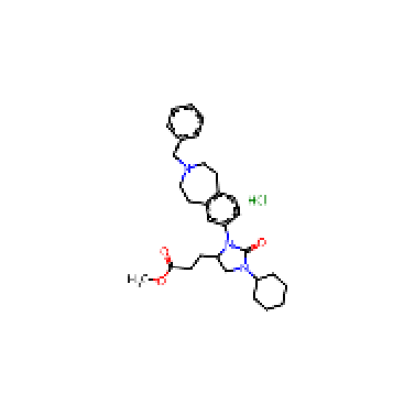 COC(=O)CCC1CN(C2CCCCC2)C(=O)N1c1ccc2c(c1)CCN(Cc1ccccc1)CC2.Cl